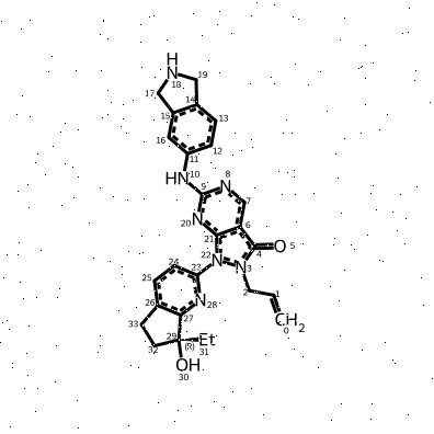 C=CCn1c(=O)c2cnc(Nc3ccc4c(c3)CNC4)nc2n1-c1ccc2c(n1)[C@@](O)(CC)CC2